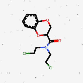 O=C(C1COc2ccccc2O1)N(CCCl)CCCl